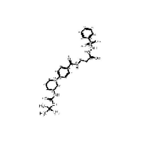 CC(C)(C)OC(=O)N[C@H]1CCCN(c2ccc(C(=O)NCCC(=O)ONS(=O)(=O)c3ccccc3)cc2)C1